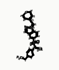 CCN(c1ccc(CC(F)(F)F)cc1)S(=O)(=O)c1ccc2c(cnn2CC2CCOCC2)c1